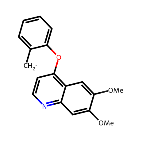 [CH2]c1ccccc1Oc1ccnc2cc(OC)c(OC)cc12